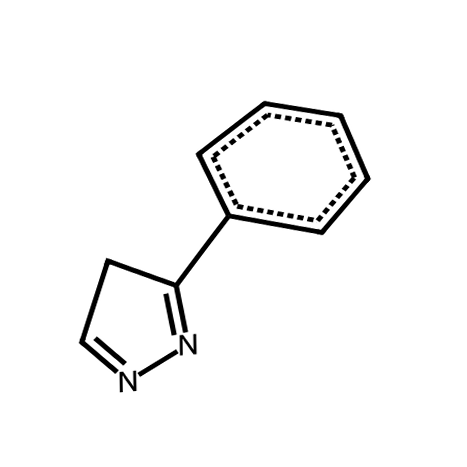 C1=NN=C(c2ccccc2)C1